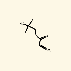 C=CC(=O)OCC(C)(F)F